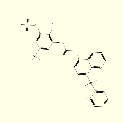 COc1c(NC(=O)Nc2ccc(C(C)(C)c3ccncc3)c3ccccc23)cc(C(C)(C)C)cc1NS(C)(=O)=O